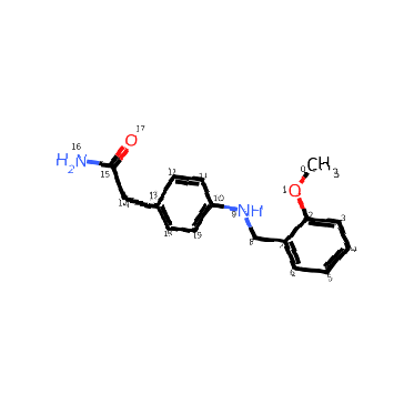 COc1ccccc1CNc1ccc(CC(N)=O)cc1